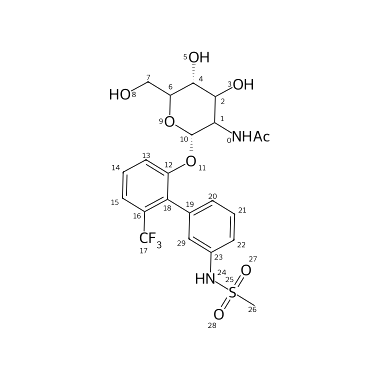 CC(=O)NC1C(O)[C@@H](O)C(CO)O[C@H]1Oc1cccc(C(F)(F)F)c1-c1cccc(NS(C)(=O)=O)c1